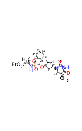 CCOC(=O)[C@H](C)NP(=O)(CO[C@@H]1C=C[C@H](n2cc(C)c(=O)[nH]c2=O)C1)Oc1ccccc1